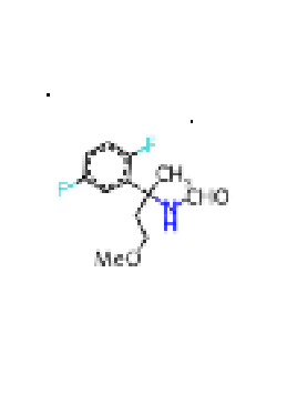 COCCC(C)(NC=O)c1cc(F)ccc1F